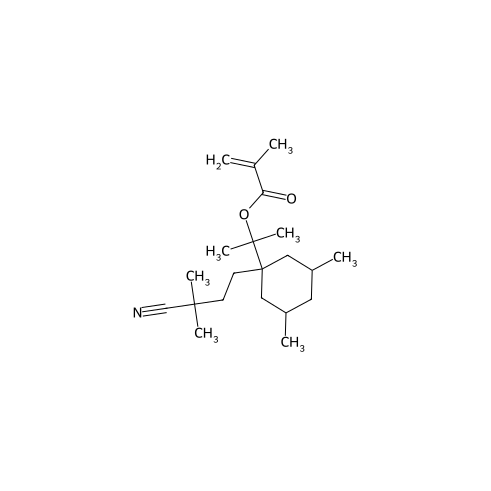 C=C(C)C(=O)OC(C)(C)C1(CCC(C)(C)C#N)CC(C)CC(C)C1